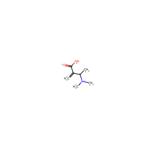 C=C(C(=O)O)C(C)N(C)C